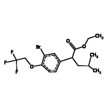 CCOC(=O)C(CC(C)C)c1ccc(OCC(F)(F)F)c(Br)c1